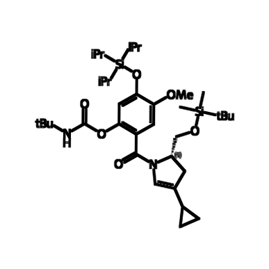 COc1cc(C(=O)N2C=C(C3CC3)C[C@H]2CO[Si](C)(C)C(C)(C)C)c(OC(=O)NC(C)(C)C)cc1O[Si](C(C)C)(C(C)C)C(C)C